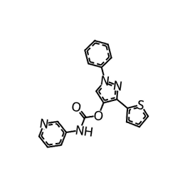 O=C(Nc1cccnc1)Oc1cn(-c2ccccc2)nc1-c1cccs1